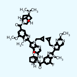 COc1ncc2cc(-c3nc4cc(C(=O)N5C[C@H]6CC[C@@H]5[C@@H]6Nc5cnc6c(c5)cc(-c5nc7cc(C(=O)N8C[C@H]9CC%10(N(C)C)C[C@@H]8[C@@H]9%10)cc(OC)c7n5C)n6CC5CC5)cc(F)c4n3C)n(CC3CC3)c2n1